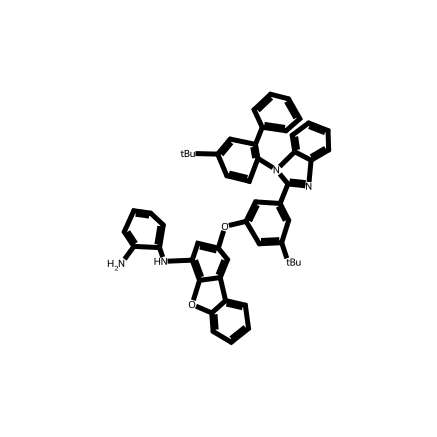 CC(C)(C)c1cc(Oc2cc(Nc3ccccc3N)c3oc4ccccc4c3c2)cc(-c2nc3ccccc3n2-c2ccc(C(C)(C)C)cc2-c2ccccc2)c1